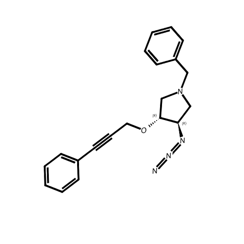 [N-]=[N+]=N[C@@H]1CN(Cc2ccccc2)C[C@H]1OCC#Cc1ccccc1